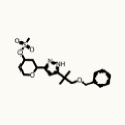 CC(C)(COCc1ccccc1)c1cc(C2CC(OS(C)(=O)=O)CCO2)n[nH]1